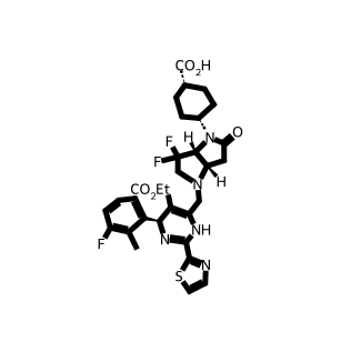 CCOC(=O)C1=C(CN2CC(F)(F)[C@H]3[C@@H]2CC(=O)N3[C@H]2CC[C@@H](C(=O)O)CC2)NC(c2nccs2)=N[C@H]1c1cccc(F)c1C